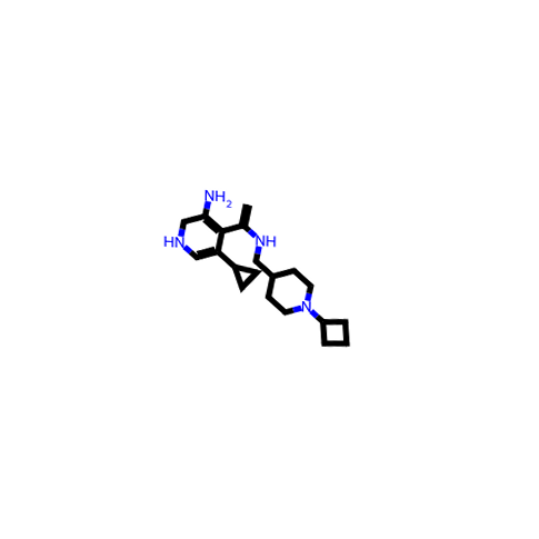 C=C(NCC1CCN(C2CCC2)CC1)C1=C(N)CNC=C1C1CC1